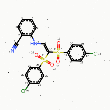 N#Cc1ccccc1NC=C(S(=O)(=O)c1ccc(Cl)cc1)S(=O)(=O)c1ccc(Cl)cc1